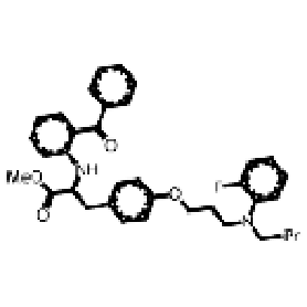 COC(=O)C(Cc1ccc(OCCCN(CC(C)C)c2ccccc2F)cc1)Nc1ccccc1C(=O)c1ccccc1